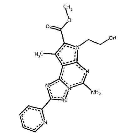 COC(=O)c1c(C)c2c(nc(N)n3nc(-c4ccccn4)nc23)n1CCO